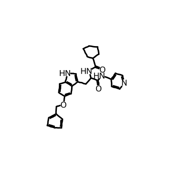 O=C(NC(Cc1c[nH]c2ccc(OCc3ccccc3)cc12)C(=O)Nc1ccncc1)C1CCCCC1